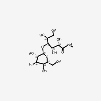 CNC(=O)[C@@H](O)[C@H](O)[C@@H](O[C@H]1O[C@@H](CO)[C@@H](O)[C@@H](O)[C@@H]1O)[C@@H](O)CO